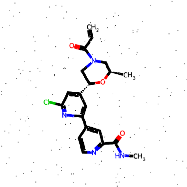 C=CC(=O)N1C[C@@H](C)O[C@H](c2cc(Cl)nc(-c3ccnc(C(=O)NC)c3)c2)C1